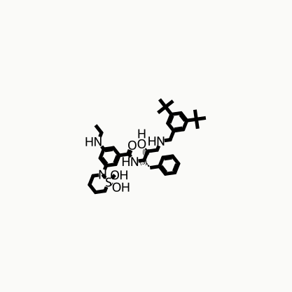 CCNc1cc(C(=O)N[C@@H](Cc2ccccc2)[C@H](O)CNCc2cc(C(C)(C)C)cc(C(C)(C)C)c2)cc(N2CCCCS2(O)O)c1